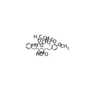 COc1ccc(CCC(CC(O)C(Cc2ccccc2)NC(=O)OC(C)(C)C)C(=O)O)cc1OC